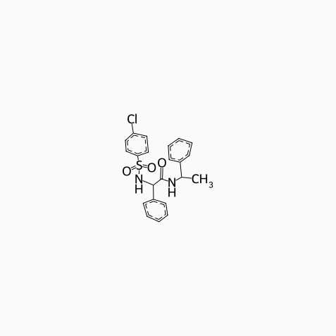 CC(NC(=O)C(NS(=O)(=O)c1ccc(Cl)cc1)c1ccccc1)c1ccccc1